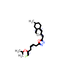 C/C=C1/CC(C)CC/C1=C/C=C/c1nnc(C/C=C\C/C(=C/F)OC(C)C)o1